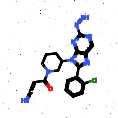 N=C=CC(=O)N1CCCC(n2c(-c3ccccc3Cl)nc3cnc(N=N)nc32)C1